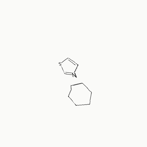 C1CCCCC1.c1cscn1